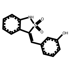 O=S1(=O)Nc2ccccc2C1=Cc1cccc(O)c1